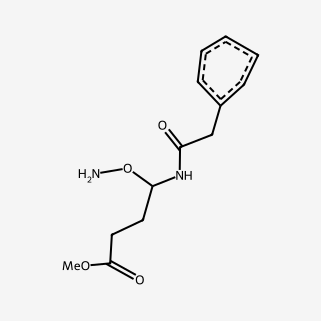 COC(=O)CCC(NC(=O)Cc1ccccc1)ON